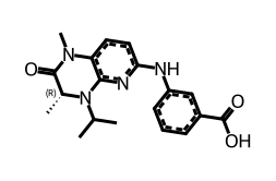 CC(C)N1c2nc(Nc3cccc(C(=O)O)c3)ccc2N(C)C(=O)[C@H]1C